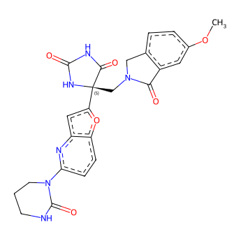 COc1ccc2c(c1)C(=O)N(C[C@@]1(c3cc4nc(N5CCCNC5=O)ccc4o3)NC(=O)NC1=O)C2